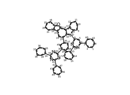 c1ccc(-c2cc(-n3c4ccccc4c4c5oc6ccccc6c5cc(-c5cccc(-c6nc(-c7ccccc7)nc(-c7ccccc7)n6)c5)c43)nc(-c3ccccc3)n2)cc1